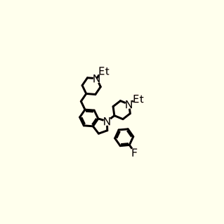 CCN1CCC(Cc2ccc3c(c2)N(C2CCN(CC)CC2)CC3)CC1.Fc1ccccc1